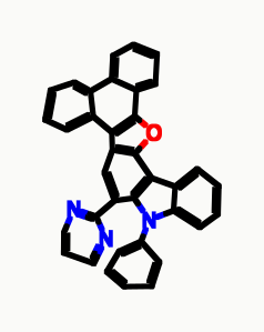 c1ccc(-n2c3ccccc3c3c4oc5c6ccccc6c6ccccc6c5c4cc(-c4ncccn4)c32)cc1